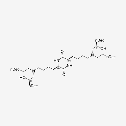 CCCCCCCCCCCCN(CCCC[C@H]1NC(=O)[C@@H](CCCCN(CCCCCCCCCCCC)C[C@H](O)CCCCCCCCCC)NC1=O)C[C@H](O)CCCCCCCCCC